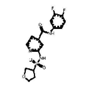 O=C(Nc1ccc(F)c(F)c1)c1ccnc(NS(=O)(=O)C2CCOC2)c1